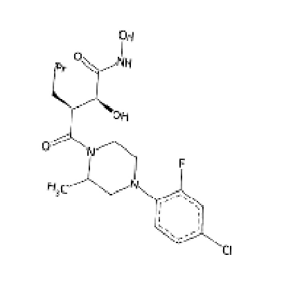 CC(C)C[C@H](C(=O)N1CCN(c2ccc(Cl)cc2F)CC1C)[C@H](O)C(=O)NO